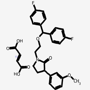 COc1cccc(C2CCN(CCOC(c3ccc(F)cc3)c3ccc(F)cc3)C2=O)c1.O=C(O)/C=C/C(=O)O